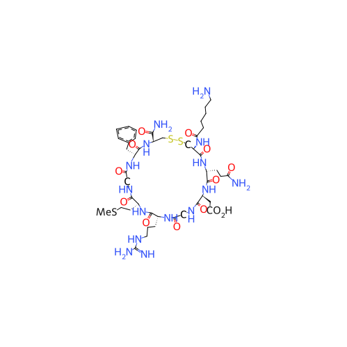 CSCC[C@H]1NC(=O)[C@@H](CCCNC(=N)N)NC(=O)CNC(=O)[C@H](CC(=O)O)NC(=O)[C@@H](CCC(N)=O)NC(=O)[C@H](NC(=O)CCCCCN)CSSC[C@H](C(N)=O)NC(=O)[C@@H](Cc2ccccc2)NC(=O)CNC1=O